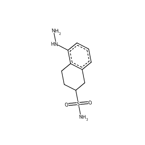 NNc1cccc2c1CCC(S(N)(=O)=O)C2